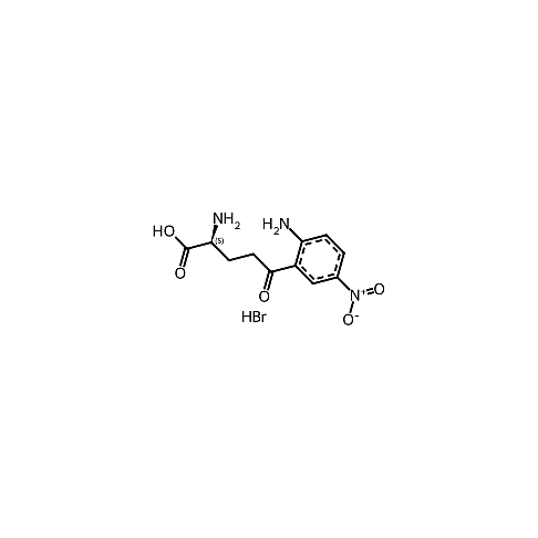 Br.Nc1ccc([N+](=O)[O-])cc1C(=O)CC[C@H](N)C(=O)O